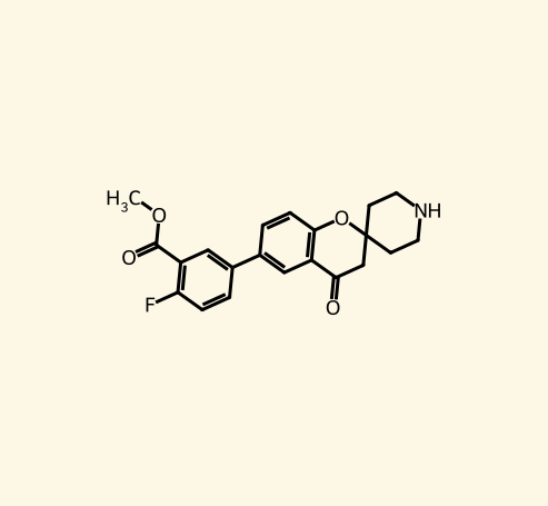 COC(=O)c1cc(-c2ccc3c(c2)C(=O)CC2(CCNCC2)O3)ccc1F